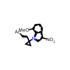 COc1cccc2c([N+](=O)[O-])cn(C3(/C=C/C(C)=O)CC3)c12